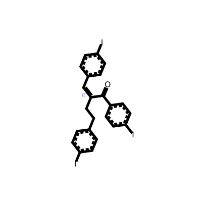 O=C(/C(=C\c1ccc(I)cc1)CCc1ccc(I)cc1)c1ccc(I)cc1